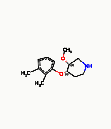 CO[C@@H]1CNCC[C@@H]1Oc1cccc(C)c1C